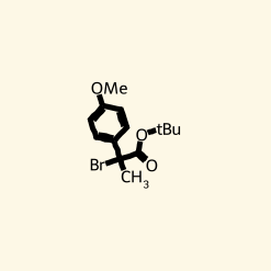 COc1ccc(C(C)(Br)C(=O)OC(C)(C)C)cc1